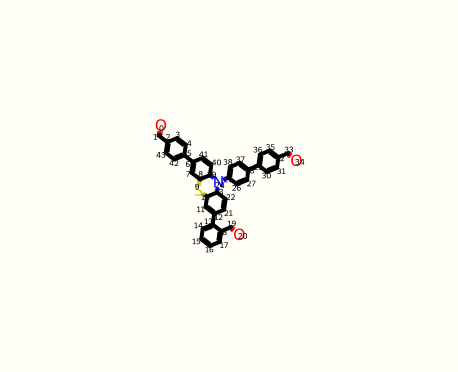 O=Cc1ccc(C2=CC3SC4C=C(c5ccccc5C=O)C=CC4N(c4ccc(-c5ccc(C=O)cc5)cc4)C3C=C2)cc1